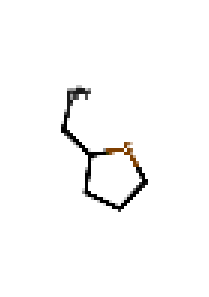 CCCCC1CCCS1